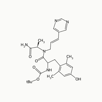 Cc1cc(O)cc(C)c1CC(NC(=O)OC(C)(C)C)C(=O)N(C/C=C/c1cncnc1)[C@H](C)C(N)=O